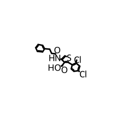 O=C(CCc1ccccc1)Nc1csc(-c2ccc(Cl)cc2Cl)c1C(=O)O